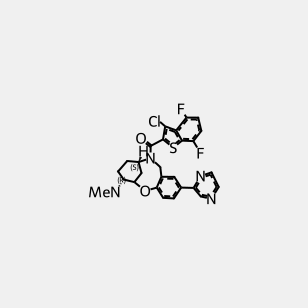 CN[C@@H]1CC[C@H]2CC1Oc1ccc(-c3cnccn3)cc1CN2C(=O)c1sc2c(F)ccc(F)c2c1Cl